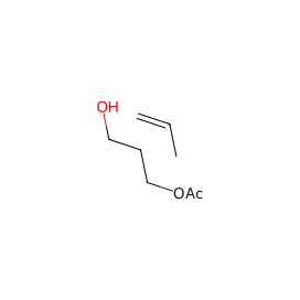 C=CC.CC(=O)OCCCO